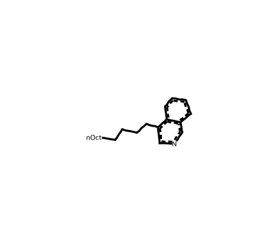 CCCCCCCCCCCCc1cncc2ccccc12